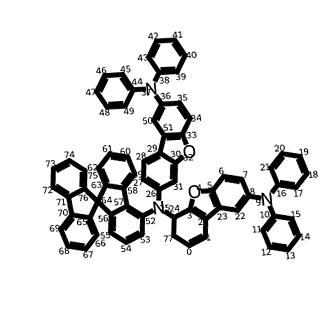 C1=Cc2c(oc3ccc(N(c4ccccc4)c4ccccc4)cc23)C(N(c2ccc3c(c2)oc2ccc(N(c4ccccc4)c4ccccc4)cc23)c2cccc3c2-c2ccccc2C32c3ccccc3-c3ccccc32)C1